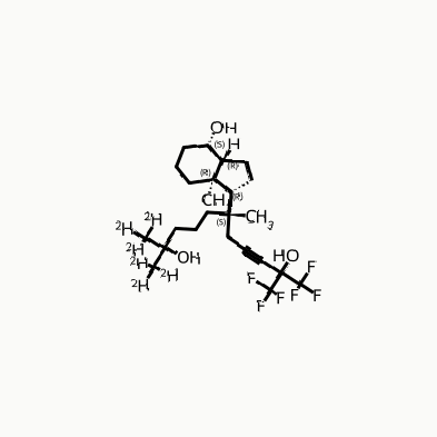 [2H]C([2H])([2H])C(O)(CCC[C@@](C)(CC#CC(O)(C(F)(F)F)C(F)(F)F)[C@H]1CC[C@H]2[C@@H](O)CCC[C@]12C)C([2H])([2H])[2H]